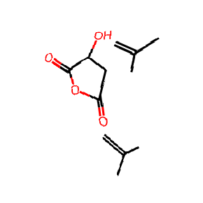 C=C(C)C.C=C(C)C.O=C1CC(O)C(=O)O1